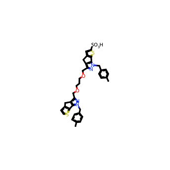 Cc1ccc(Cn2nc(COCCCOCc3nn(Cc4ccc(C)cc4)c4c3Cc3cc(S(=O)(=O)O)sc3-4)c3c2-c2sccc2C3)cc1